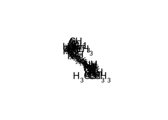 COC(=O)N[C@H](C(=O)N1[C@H](c2ncc(-c3ccc4c(c3)Cc3cc(-c5cnc([C@@H]6C[C@H]7CCC[C@H]7N6C(=O)[C@H](NC(=O)OC)[C@H](C)OC)[nH]5)ccc3-4)[nH]2)C[C@@H]2CCC[C@@H]21)[C@@H](C)OC